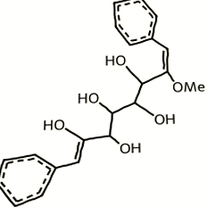 COC(=Cc1ccccc1)C(O)C(O)C(O)C(O)C(O)=Cc1ccccc1